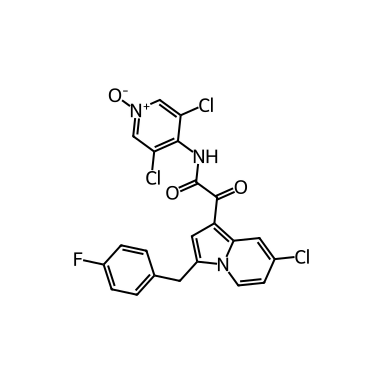 O=C(Nc1c(Cl)c[n+]([O-])cc1Cl)C(=O)c1cc(Cc2ccc(F)cc2)n2ccc(Cl)cc12